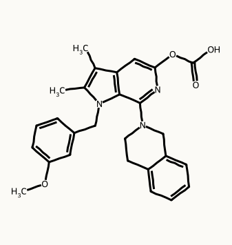 COc1cccc(Cn2c(C)c(C)c3cc(OC(=O)O)nc(N4CCc5ccccc5C4)c32)c1